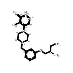 CC[C@@H](C)COc1cccc(CN2CCN(c3cn[nH]c(=O)c3Cl)CC2)c1